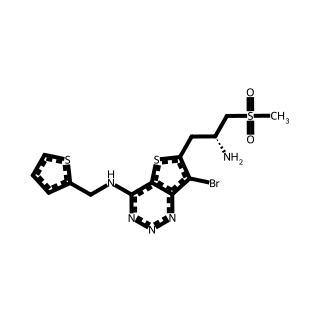 CS(=O)(=O)C[C@H](N)Cc1sc2c(NCc3cccs3)nnnc2c1Br